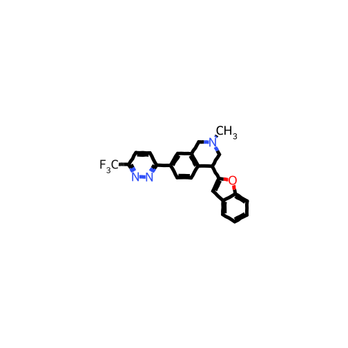 CN1Cc2cc(-c3ccc(C(F)(F)F)nn3)ccc2C(c2cc3ccccc3o2)C1